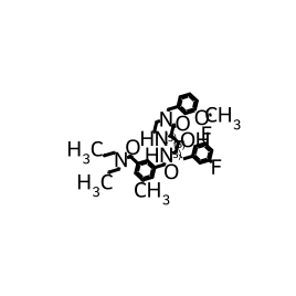 CCCN(CCC)C(=O)c1cc(C)cc(C(=O)N[C@@H](Cc2cc(F)cc(F)c2)[C@H](O)[C@@H]2NCCN(Cc3cccc(OC)c3)C2=O)c1